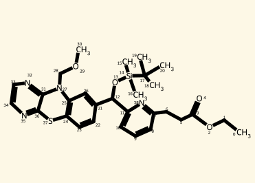 CCOC(=O)CCc1cccc(C(O[Si](C)(C)C(C)(C)C)c2ccc3c(c2)N(COC)c2nccnc2S3)n1